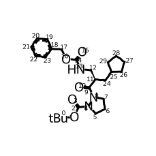 CC(C)(C)OC(=O)N1CCCN1C(=O)[C@@H](CNC(=O)OCc1ccccc1)CC1CCCC1